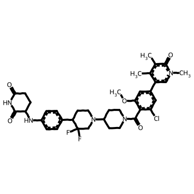 COc1cc(-c2cn(C)c(=O)c(C)c2C)cc(Cl)c1C(=O)N1CCC(N2CCC(c3ccc(NC4CCC(=O)NC4=O)cc3)C(F)(F)C2)CC1